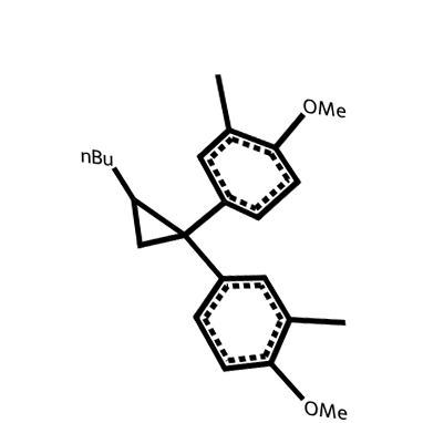 CCCCC1CC1(c1ccc(OC)c(C)c1)c1ccc(OC)c(C)c1